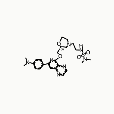 CN(C)c1ccc(-c2cc3nccnc3c(OC[C@@H]3CN(CCNS(=O)(=O)N(C)C)CCO3)n2)cc1